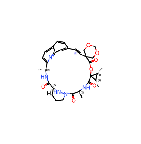 C[C@@H]1NC(=O)C2(OC(=O)C3(/C=C/c4ccc5ccc(nc5c4)[C@@H](C)NC(=O)[C@@H]4CCCN(N4)C1=O)COCOC3)[C@H](C)[C@@H]2C